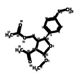 CO[C@H]1O[C@@H](c2ccc(SC)cc2)C(COC(C)=O)N1C(C)=O